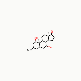 CC(=O)OC1CC(O)[C@@]2(C)C(C1)CC(O)C1C2CC[C@]2(C)C(=O)CCC12